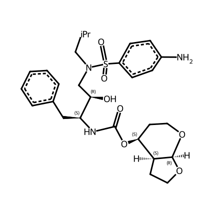 CC(C)CN(C[C@@H](O)[C@H](Cc1ccccc1)NC(=O)O[C@H]1CCO[C@H]2OCC[C@H]21)S(=O)(=O)c1ccc(N)cc1